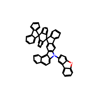 c1ccc2c(c1)-c1ccccc1C21c2ccccc2C2(c3ccccc3-c3cc4c(cc32)c2c3ccccc3ccc2n4-c2ccc3oc4ccccc4c3c2)c2ccccc21